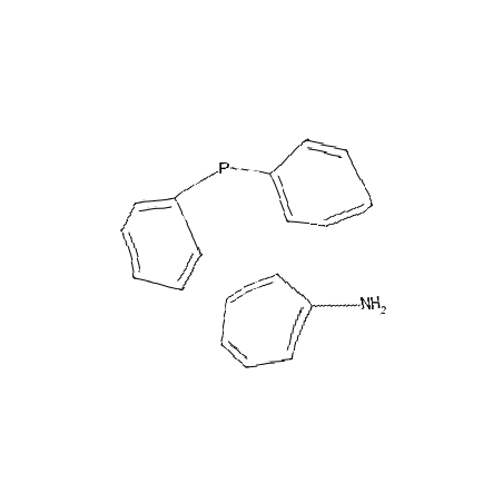 Nc1ccccc1.c1ccc([P]c2ccccc2)cc1